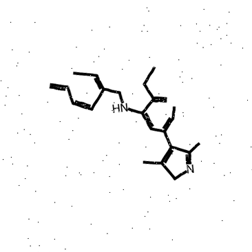 C=C/C=C\C(=C/C)CN/C(=C/C(=C\C)C1=C(C)CN=C1C)C(=C)CC